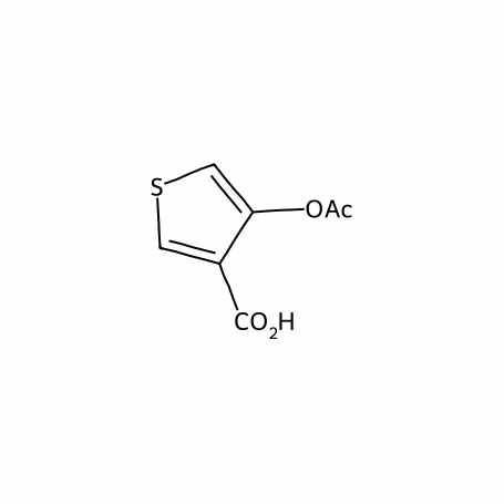 CC(=O)Oc1cscc1C(=O)O